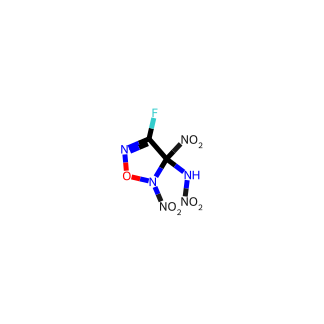 O=[N+]([O-])NC1([N+](=O)[O-])C(F)=NON1[N+](=O)[O-]